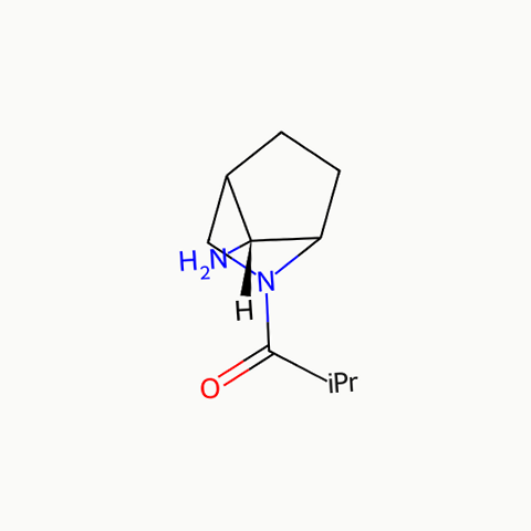 CC(C)C(=O)N1CC2CCC1[C@@H]2N